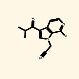 CC(C)C(=O)c1cn(CC#N)c2c(F)nccc12